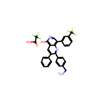 NCc1ccc(-c2nc3c(-c4cccc(C(F)(F)F)c4)cnc(O)c3cc2-c2ccccc2)cc1.O=C(O)C(F)(F)F